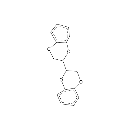 [c]1ccc2c(c1)OCC(C1COc3ccccc3O1)O2